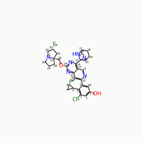 Oc1cc(Cl)c(C2CC2)c(-c2ncc3c(N4CC5CCC4CN5)nc(OC[C@@]45CCCN4C[C@H](F)C5)nc3c2F)c1